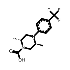 C[C@@H]1CN(c2ccc(C(F)(F)F)cc2)[C@@H](C)CN1C(=O)O